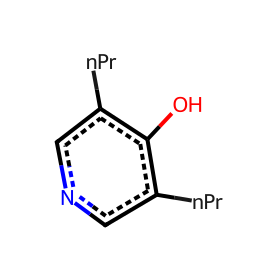 CCCc1cncc(CCC)c1O